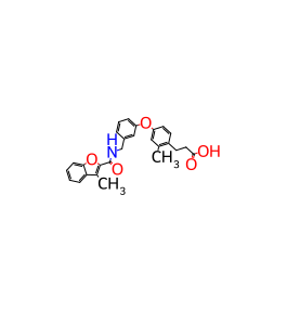 Cc1cc(Oc2cccc(CNC(=O)c3oc4ccccc4c3C)c2)ccc1CCC(=O)O